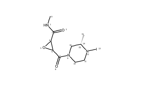 CNC(=O)C1OC1C(=O)N1CCN(I)[C@@H](C)C1